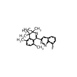 Cc1ccc(C)c2c1C(c1cc3cccc(F)c3nn1)=NC(C)(C)C2(C)C